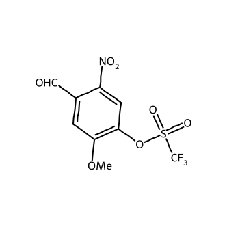 COc1cc(C=O)c([N+](=O)[O-])cc1OS(=O)(=O)C(F)(F)F